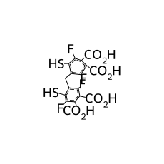 O=C(O)c1c(F)c(S)c(Cc2c(F)c(C(=O)O)c(C(=O)O)c(F)c2S)c(F)c1C(=O)O